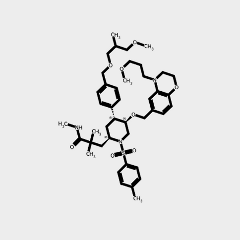 CNC(=O)C(C)(C)C[C@H]1C[C@H](c2ccc(COCC(C)COC)cc2)[C@@H](OCc2ccc3c(c2)N(CCCOC)CCO3)CN1S(=O)(=O)c1ccc(C)cc1